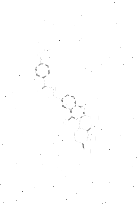 C=C1CCC(n2c(C)nc3ccc(CNC(=O)c4ccc(OC(F)(F)F)cc4)cc3c2=O)C(=O)N1